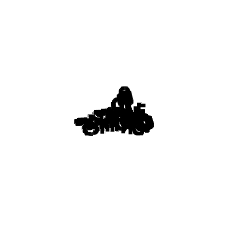 C=CC(O)N1CCN2C(=O)c3c(N4CCOCC4)nc(-c4c(O)cccc4F)c(C)c3OC[C@H]2C1